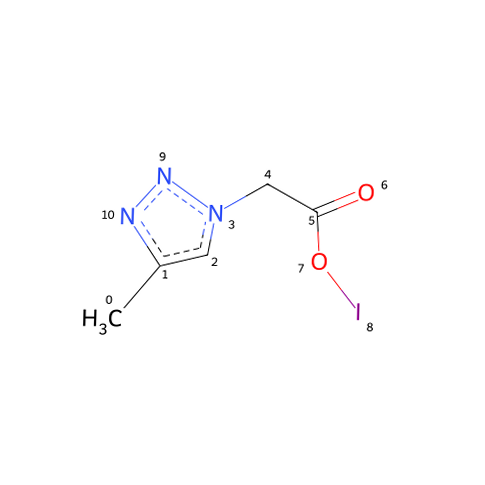 Cc1cn(CC(=O)OI)nn1